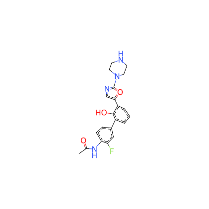 CC(=O)Nc1ccc(-c2cccc(-c3cnc(N4CCNCC4)o3)c2O)cc1F